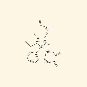 C=C/C=C\C=C(/C)S(/C(C=C)=C/C)(C(/C=C\C=C)=C/C=C)c1ccccc1